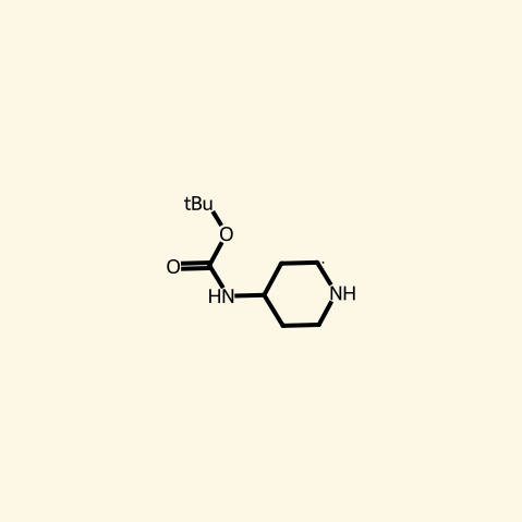 CC(C)(C)OC(=O)NC1C[CH]NCC1